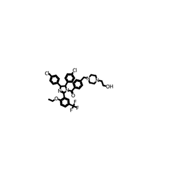 CCOc1ccc(C(F)(F)F)cc1C1=NC(c2ccc(Cl)cc2)C(c2ccc(Cl)cc2)N1C(=O)c1ccc(CN2CCN(CCO)CC2)cc1